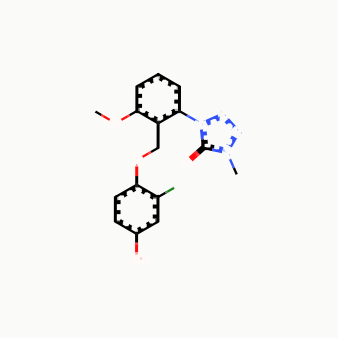 COc1cccc(-n2nnn(C)c2=O)c1COc1ccc(O)cc1Cl